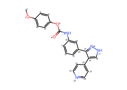 COc1ccc(OC(=O)Nc2cccc(-c3n[nH]cc3-c3ccncc3)c2)cc1